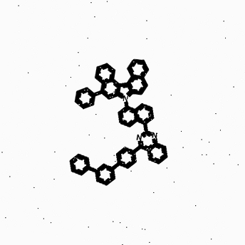 c1ccc(-c2cccc(-c3ccc(-c4nc(-c5cccc6c(-n7c8ccc9ccccc9c8c8c9ccccc9c(-c9ccccc9)cc87)cccc56)nc5ccccc45)cc3)c2)cc1